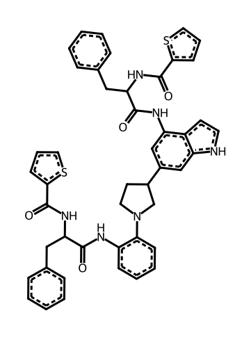 O=C(NC(Cc1ccccc1)C(=O)Nc1ccccc1N1CCC(c2cc(NC(=O)C(Cc3ccccc3)NC(=O)c3cccs3)c3cc[nH]c3c2)C1)c1cccs1